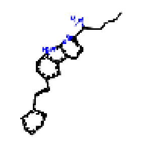 CCCCC(N)c1ccc2c(n1)[nH]c1ccc(/C=C/c3ccccc3)cc12